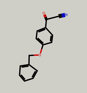 N#CC(=O)c1ccc(OCc2ccccc2)cc1